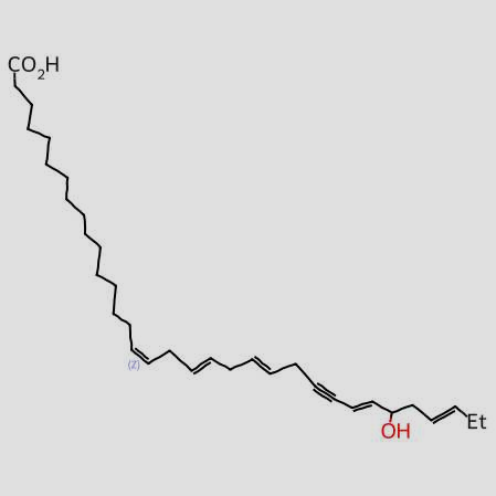 CCC=CCC(O)C=CC#CCC=CCC=CC/C=C\CCCCCCCCCCCCCCC(=O)O